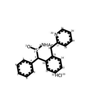 CC(=O)N[S+]([O-])C(c1ccccc1)c1ccccc1Cc1ccccn1.Cl